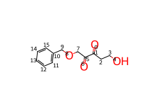 O=C(CCO)C(=O)COCc1ccccc1